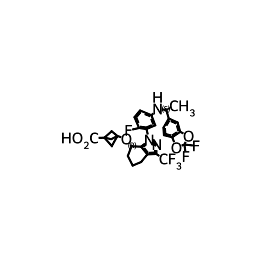 C[C@H](Nc1ccc(F)c(-n2nc(C(F)(F)F)c3c2[C@H](OC24CC(C(=O)O)(C2)C4)CCC3)c1)c1ccc2c(c1)OC(F)(F)O2